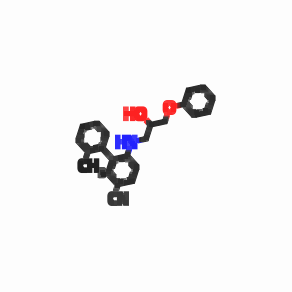 Cc1ccccc1-c1cc(C#N)ccc1NCC(O)COc1ccccc1